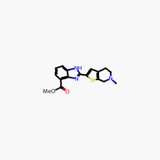 COC(=O)c1cccc2[nH]c(-c3cc4c(s3)CN(C)CC4)nc12